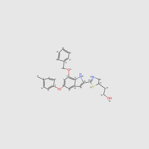 Cc1ccc(Oc2cc(OCc3ccccc3)c3[nH]c(C4=NCC(CCO)S4)cc3c2)cc1